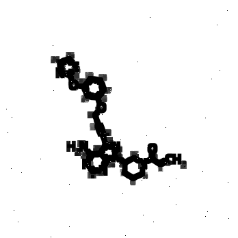 C=CC(=O)N1CCCC(n2nc(C#CCOc3cccc(Oc4nccs4)c3)c3c(N)ncnc32)C1